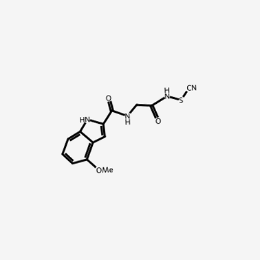 COc1cccc2[nH]c(C(=O)NCC(=O)NSC#N)cc12